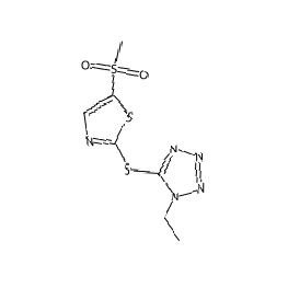 CCn1nnnc1Sc1ncc(S(C)(=O)=O)s1